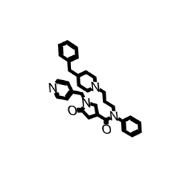 O=C1CC(C(=O)N(CCCN2CCC(Cc3ccccc3)CC2)c2ccccc2)CN1Cc1ccncc1